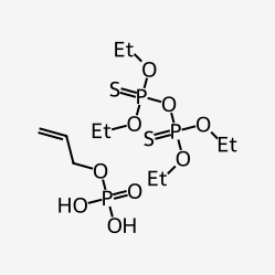 C=CCOP(=O)(O)O.CCOP(=S)(OCC)OP(=S)(OCC)OCC